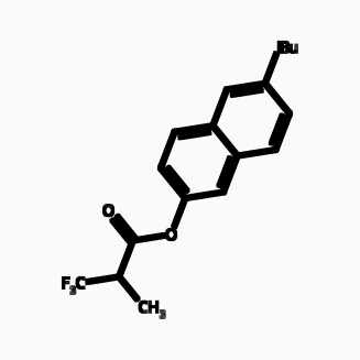 CCC(C)c1ccc2cc(OC(=O)C(C)C(F)(F)F)ccc2c1